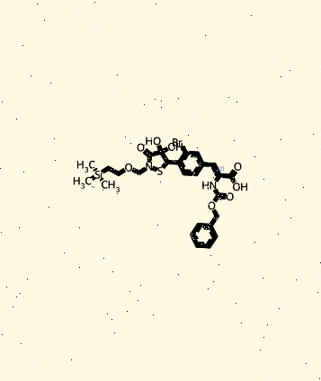 C[Si](C)(C)CCOCN1SC(c2ccc(/C=C(\NC(=O)OCc3ccccc3)C(=O)O)cc2Br)C(O)(O)C1=O